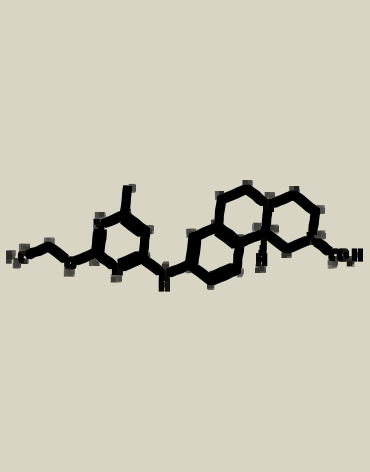 Cc1cc(Nc2ccc3c(c2)CCN2CCN(C(=O)O)C[C@@H]32)nc(OCC(F)(F)F)n1